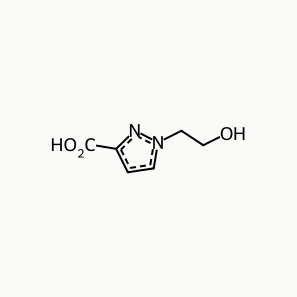 O=C(O)c1ccn(CCO)n1